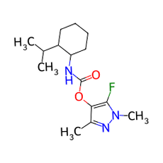 Cc1nn(C)c(F)c1OC(=O)NC1CCCCC1C(C)C